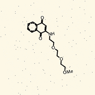 COCCOCCOCCNC1=CC(=O)c2ccccc2C1=O